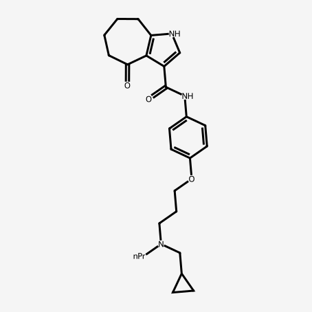 CCCN(CCCOc1ccc(NC(=O)c2c[nH]c3c2C(=O)CCCC3)cc1)CC1CC1